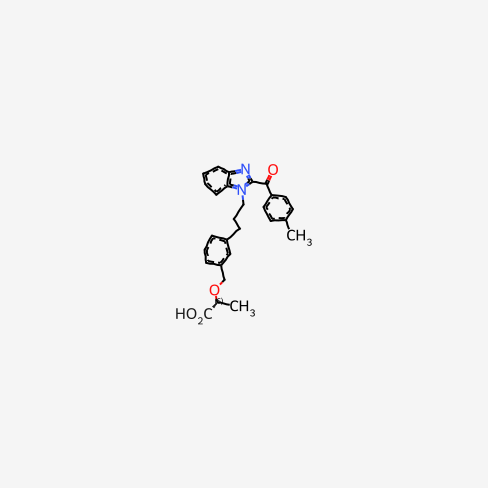 Cc1ccc(C(=O)c2nc3ccccc3n2CCCc2cccc(CO[C@@H](C)C(=O)O)c2)cc1